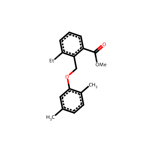 CCc1cccc(C(=O)OC)c1COc1cc(C)ccc1C